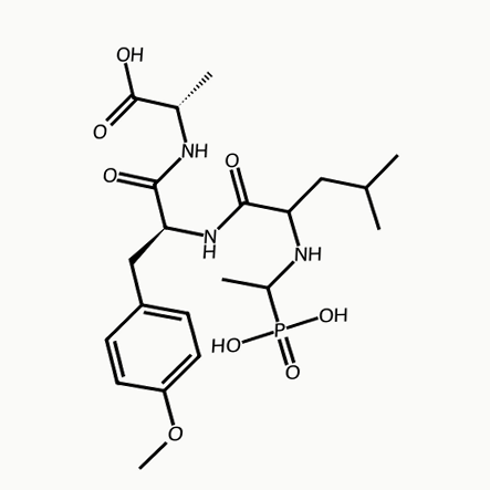 COc1ccc(C[C@H](NC(=O)C(CC(C)C)NC(C)P(=O)(O)O)C(=O)N[C@@H](C)C(=O)O)cc1